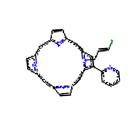 FC=CCn1c2cc3nc(cc4ccc(cc5nc(cc1c(-c1ccccn1)c2)C=C5)[nH]4)C=C3